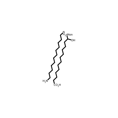 CCCCCCCCCC(O)CCCCCCCCCCCC(=O)O.NCCCCCCCCCCCCN